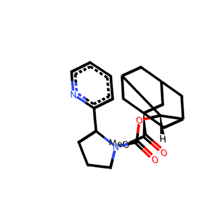 COC(=O)[C@]12CC3CC(C1)[C@@H](OC(=O)N1CCCC1c1ccccn1)C(C3)C2